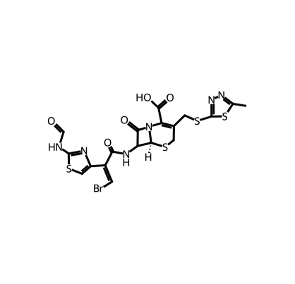 Cc1nnc(SCC2=C(C(=O)O)N3C(=O)C(NC(=O)C(=CBr)c4csc(NC=O)n4)[C@@H]3SC2)s1